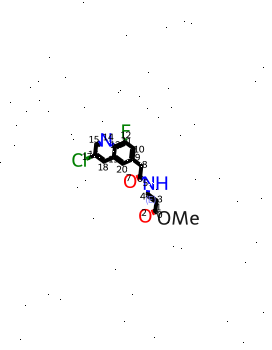 COC(=O)/C=C/NC(=O)Cc1cc(F)c2ncc(Cl)cc2c1